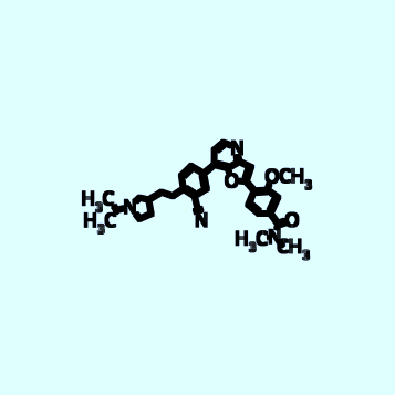 COc1cc(C(=O)N(C)C)ccc1-c1cc2nccc(-c3ccc(CCC4CCN(C(C)C)C4)c(C#N)c3)c2o1